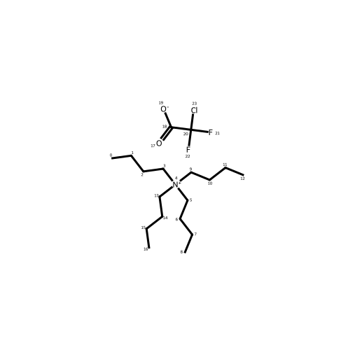 CCCC[N+](CCCC)(CCCC)CCCC.O=C([O-])C(F)(F)Cl